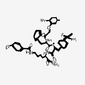 CCc1ccc(C(=O)NCCCCC(NC(=O)C(Cc2ccc(C(C)(F)P)cc2)N(C)C(=O)C(Cc2ccccc2)NC(=O)COC2CC(C)CCC2C(C)C)C(N)=O)cc1